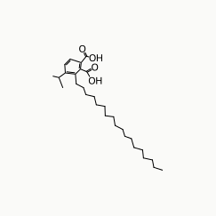 CCCCCCCCCCCCCCCCCCc1c(C(C)C)ccc(C(=O)O)c1C(=O)O